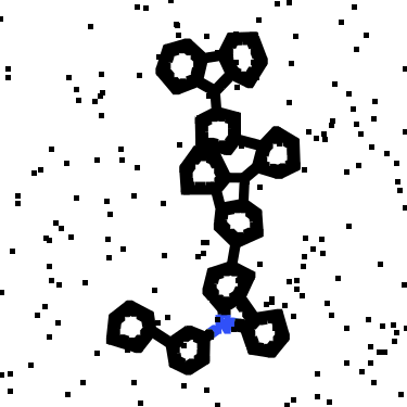 c1ccc(-c2cccc(-n3c4ccccc4c4cc(-c5ccc6c(c5)-c5ccccc5C6c5ccccc5-c5cccc(C6c7ccccc7-c7ccccc76)c5)ccc43)c2)cc1